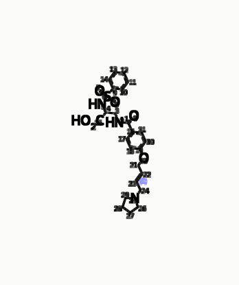 O=C(NCC(NS(=O)(=O)c1ccccc1)C(=O)O)c1ccc(OC/C=C/CN2CCCC2)cc1